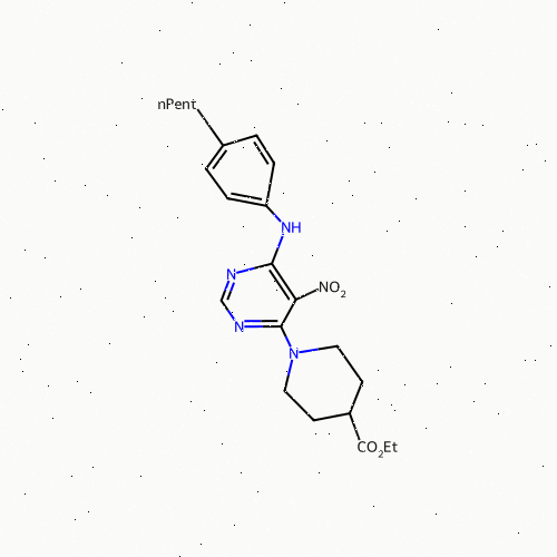 CCCCCc1ccc(Nc2ncnc(N3CCC(C(=O)OCC)CC3)c2[N+](=O)[O-])cc1